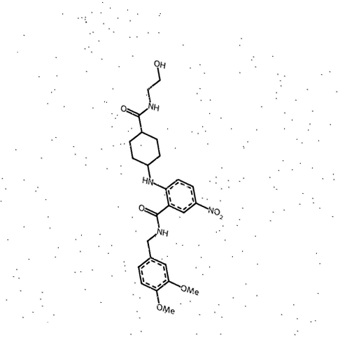 COc1ccc(CNC(=O)c2cc([N+](=O)[O-])ccc2NC2CCC(C(=O)NCCO)CC2)cc1OC